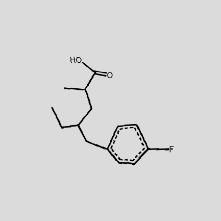 CCC(Cc1ccc(F)cc1)CC(C)C(=O)O